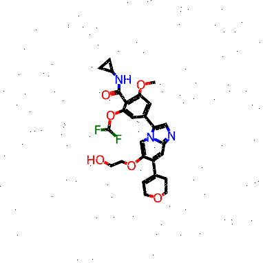 COc1cc(-c2cnc3cc(C4=CCOCC4)c(OCCO)cn23)cc(OC(F)F)c1C(=O)NC1CC1